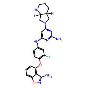 Nc1nc(Nc2ccc(Oc3cccc4onc(N)c34)c(F)c2)cc(N2C[C@H]3CCCN[C@H]3C2)n1